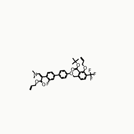 C=CCOC(=O)C(=CN(C)C)c1ccc(-c2ccc(OCc3ccc(C(F)(F)F)c(OCC=C)c3C(=O)OC(C)(C)C)cc2)cc1F